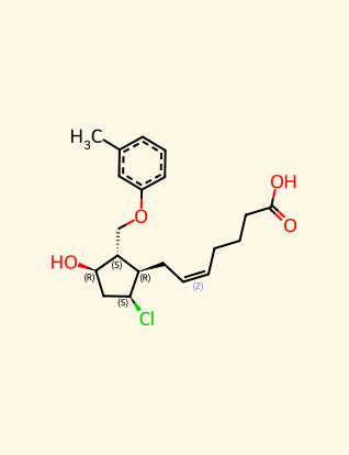 Cc1cccc(OC[C@@H]2[C@@H](C/C=C\CCCC(=O)O)[C@@H](Cl)C[C@H]2O)c1